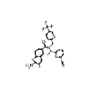 Cc1cc2cc(C(=O)N(Cc3ccc(C(F)(F)F)cn3)C(C)c3cccc(C#N)n3)ccc2nc1N